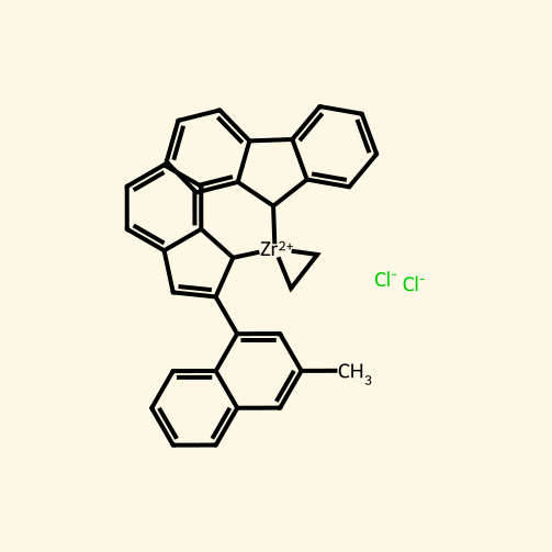 Cc1cc(C2=Cc3ccccc3[CH]2[Zr+2]2([CH]3c4ccccc4-c4ccccc43)[CH2][CH2]2)c2ccccc2c1.[Cl-].[Cl-]